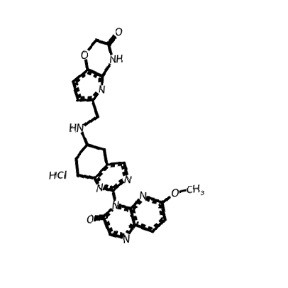 COc1ccc2ncc(=O)n(-c3ncc4c(n3)CCC(NCc3ccc5c(n3)NC(=O)CO5)C4)c2n1.Cl